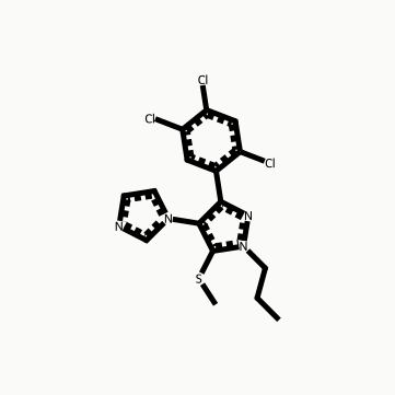 CCCn1nc(-c2cc(Cl)c(Cl)cc2Cl)c(-n2ccnc2)c1SC